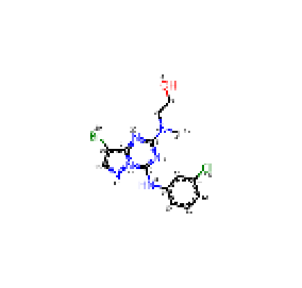 CC(C)N(CCO)c1nc(Nc2cccc(Cl)c2)n2ncc(Br)c2n1